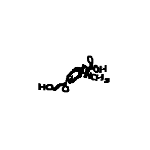 CN[C@@H](CC1CCN(C(=O)CCO)CC1)C(=O)O